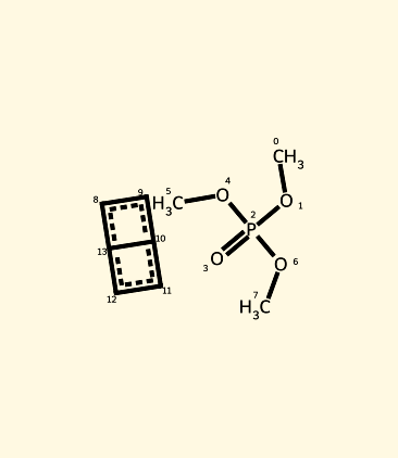 COP(=O)(OC)OC.c1cc2ccc1-2